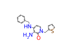 Nc1c(NCc2ccccc2)ccn(Cc2cccs2)c1=O